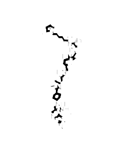 COC(=O)[C@@H](CCCNC(=O)c1ccc(NC(=O)[C@@H](C)NC(=O)[C@H](NC(=O)CCCCCN2C(=O)C=CC2=O)C(C)C)s1)NC(=O)c1ccc(NCC2C=Nc3nc(N)ncc3N2N)cc1